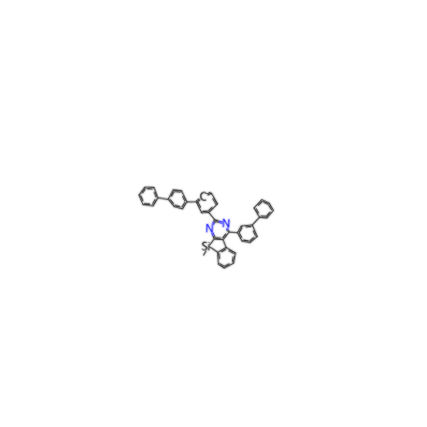 C[Si]1(C)c2ccccc2-c2c(-c3cccc(-c4ccccc4)c3)nc(-c3cccc(-c4ccc(-c5ccccc5)cc4)c3)nc21